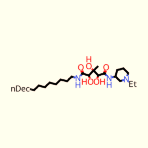 CCCCCCCCCCCCCCCCCCNC(=O)C(O)C(C)(O)C(O)C(=O)NC1CCCN(CC)C1